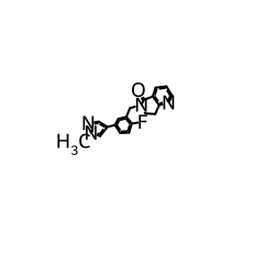 Cn1cc(-c2ccc(F)c(CN3CCc4ncccc4C3=O)c2)cn1